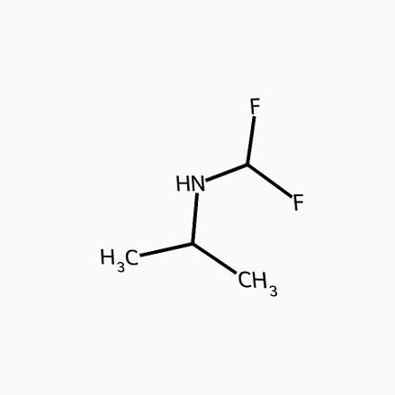 CC(C)NC(F)F